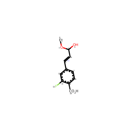 CCOC(O)/C=C/c1ccc(C(=O)O)c(F)c1